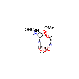 COCOc1cc(N(C)BC=O)cc2c1C(=O)O[C@@H](C)[C@H](C)/C=C\C(O)[C@H]1OC(C)(C)O[C@H]1C/C=C/2